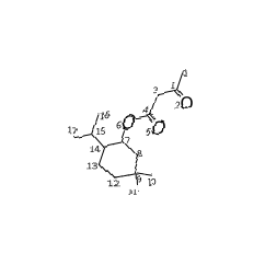 CC(=O)CC(=O)OC1CC(C)(C)CCC1C(C)C